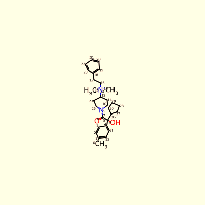 Cc1ccc(C(O)(C(=O)N2CCC([N+](C)(C)CCc3ccccc3)CC2)C2CCCC2)cc1